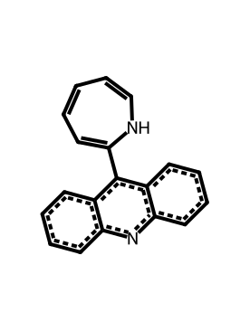 C1=CC=C(c2c3ccccc3nc3ccccc23)NC=C1